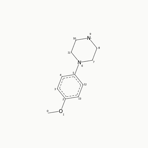 COc1ccc(N2CC[N]CC2)cc1